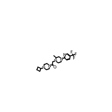 CC1CN(c2ccc(C(F)(F)F)cn2)CCN1CC(=O)N1CCN(C2CCC2)CC1